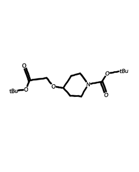 CC(C)(C)OC(=O)COC1CCN(C(=O)OC(C)(C)C)CC1